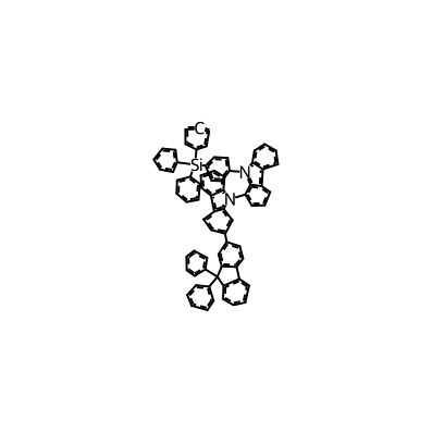 c1ccc(C2(c3ccccc3)c3ccccc3-c3ccc(-c4ccc5c6ccccc6n(-c6cccc7c8ccccc8n(-c8ccc([Si](c9ccccc9)(c9ccccc9)c9ccccc9)cc8)c67)c5c4)cc32)cc1